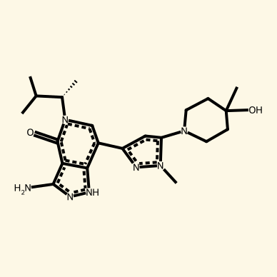 CC(C)[C@H](C)n1cc(-c2cc(N3CCC(C)(O)CC3)n(C)n2)c2[nH]nc(N)c2c1=O